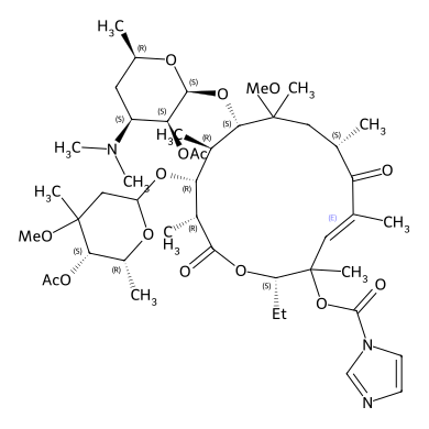 CC[C@@H]1OC(=O)[C@H](C)[C@H](OC2CC(C)(OC)[C@@H](OC(C)=O)[C@@H](C)O2)[C@@H](C)[C@H](O[C@@H]2O[C@H](C)C[C@H](N(C)C)[C@@H]2OC(C)=O)C(C)(OC)C[C@H](C)C(=O)/C(C)=C/C1(C)OC(=O)n1ccnc1